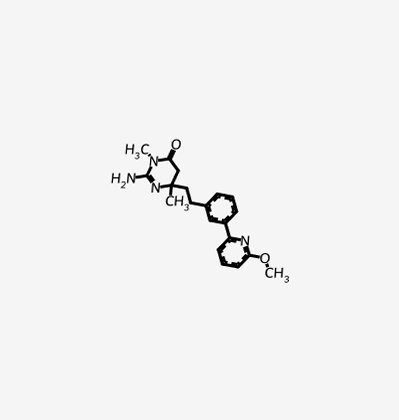 COc1cccc(-c2cccc(CCC3(C)CC(=O)N(C)C(N)=N3)c2)n1